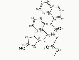 COC(=O)CN(C(=O)Cc1cccc2ccccc12)C(CN1CCC(O)C1)c1ccccc1